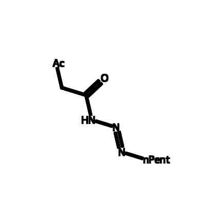 CCCCCN=NNC(=O)CC(C)=O